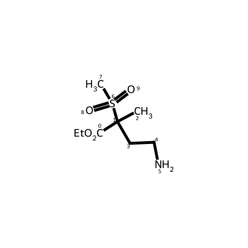 CCOC(=O)C(C)(CCN)S(C)(=O)=O